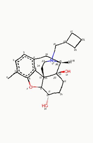 Cc1ccc2c3c1OC1[C@@H](O)CC[C@@]4(O)[C@@H](C2)N(CC2CCC2)CC[C@]314